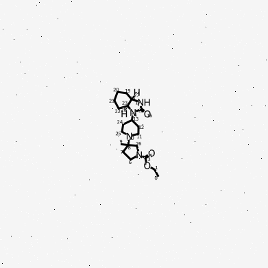 CCOC(=O)N1CCC(C)(N2CCC(N3C(=O)N[C@H]4CCCC[C@@H]43)CC2)C1